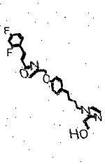 OCCc1nccn1CCCCc1ccc(OCc2coc(C=Cc3ccc(F)cc3F)n2)cc1